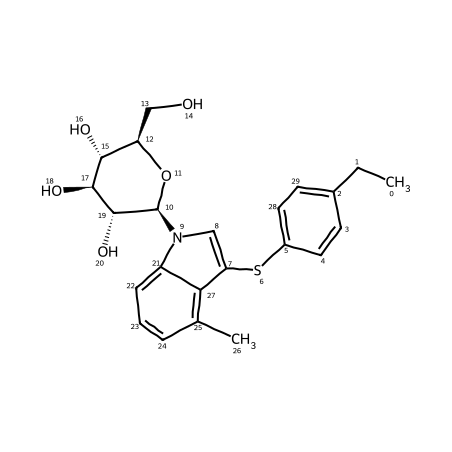 CCc1ccc(Sc2cn([C@@H]3O[C@H](CO)[C@@H](O)[C@H](O)[C@H]3O)c3cccc(C)c23)cc1